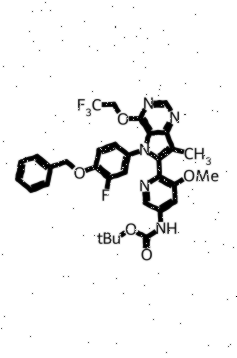 COc1cc(NC(=O)OC(C)(C)C)cnc1-c1c(C)c2ncnc(OCC(F)(F)F)c2n1-c1ccc(OCc2ccccc2)c(F)c1